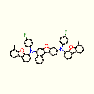 Cc1cccc2c1oc1c(N(c3ccc(F)cc3)c3ccc4c(c3)oc3cc(N(c5ccc(F)cc5)c5cccc6c5oc5c(C)cccc56)c5ccccc5c34)cccc12